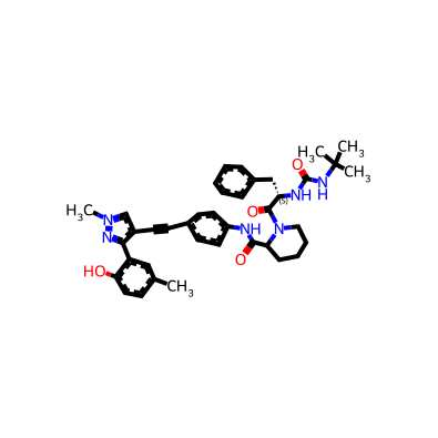 Cc1ccc(O)c(-c2nn(C)cc2C#Cc2ccc(NC(=O)C3CCCCN3C(=O)[C@H](Cc3ccccc3)NC(=O)NC(C)(C)C)cc2)c1